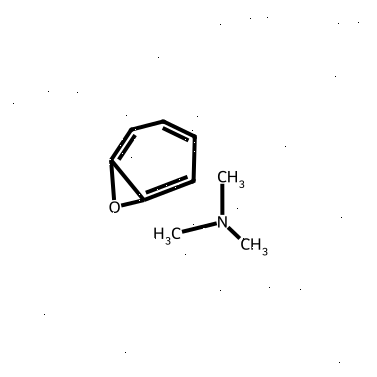 CN(C)C.c1ccc2c(c1)O2